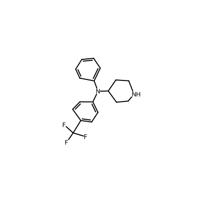 FC(F)(F)c1ccc(N(c2ccccc2)C2CCNCC2)cc1